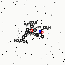 CC(C(=O)O)c1cccc(C(=O)c2ccccc2)c1.CC(C)Cc1ccc(C(C)C(=O)O)cc1.COc1ccc2cc([C@H](C)C(=O)O)ccc2c1.O=C(O)CCc1nc(-c2ccccc2)c(-c2ccccc2)o1